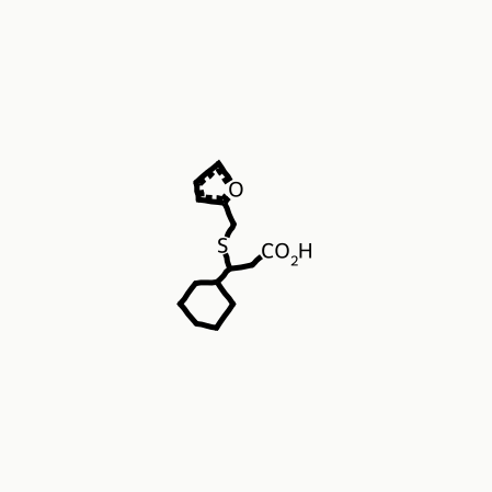 O=C(O)CC(SCc1ccco1)C1CCCCC1